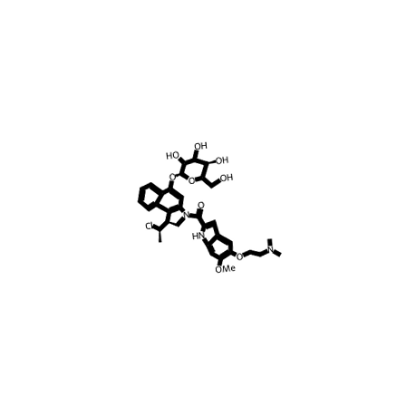 COc1cc2[nH]c(C(=O)N3C[C@@H]([C@@H](C)Cl)c4c3cc(O[C@@H]3OC(CO)[C@H](O)C(O)C3O)c3ccccc43)cc2cc1OCCN(C)C